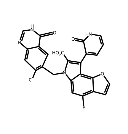 O=C(O)c1c(-c2ccc[nH]c2=O)c2c3occc3c(F)cc2n1Cc1cc2c(=O)[nH]cnc2cc1Cl